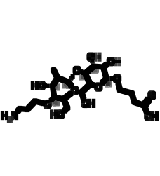 CC1[C@H](O[C@@H]2C(CO)O[C@@H](OCCCC(=O)O)C(O)[C@H]2O)OC(CO)[C@@H](OCCCN)[C@@H]1O